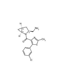 Cc1nc(C(=O)N2[C@H](CN)C[C@@H]3C[C@@H]32)c(-c2cccc(Cl)c2)s1